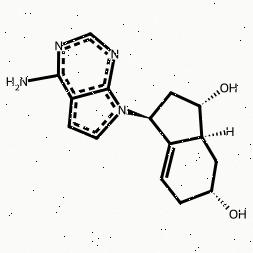 Nc1ncnc2c1ccn2[C@H]1C[C@H](O)[C@H]2C[C@H](O)CC=C21